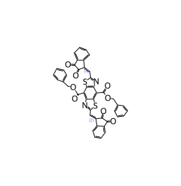 O=C1C(=O)c2ccccc2/C1=C/c1nc2c(C(=O)OCc3ccccc3)c3sc(/C=C4\C(=O)C(=O)c5ccccc54)nc3c(C(=O)OCc3ccccc3)c2s1